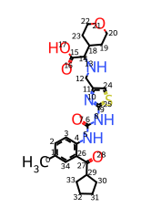 Cc1ccc(NC(=O)Nc2nc(CNC(C(=O)O)C3CCOCC3)cs2)c(C(=O)C2CCCC2)c1